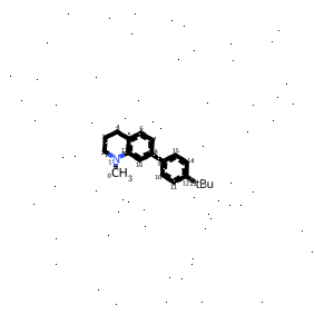 CN1CCCc2ccc(-c3ccc(C(C)(C)C)cc3)cc21